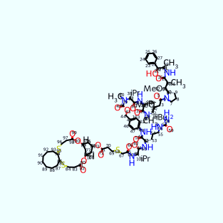 CC[C@H](C)[C@@H]([C@@H](CC(=O)N1CCC[C@H]1[C@H](OC)[C@@H](C)C(=O)N[C@H](C)[C@@H](O)c1ccccc1)OC)N(C)C(=O)[C@@H](NC(=O)[C@H](C(C)C)N(C)C(=O)OCc1ccc(NC(=O)[C@H](CCCNC(N)=O)NC(=O)[C@@H](NC(=O)CSCCC(=O)O[C@H]2C[C@@H]3C[C@H](C2)OC(=O)CCSC2CCCCCCCC2SCCC(=O)O3)C(C)C)cc1)C(C)C